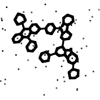 c1ccc(-c2ccc3sc4c(-c5ccc6c7ccccc7n(-c7ccc(-c8ccc9c(-c%10ccccc%10)c%10ccccc%10c(-c%10ccccc%10)c9c8)cc7)c6c5)cc(-c5ccccc5)cc4c3c2)cc1